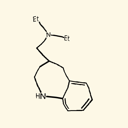 CCN(CC)CC1CNc2ccccc2C1